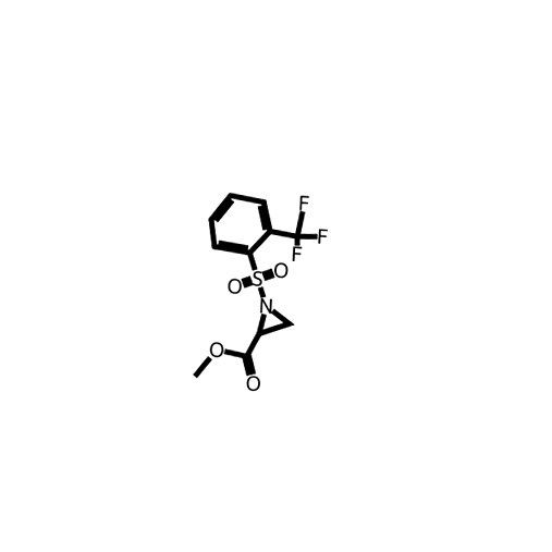 COC(=O)C1CN1S(=O)(=O)c1ccccc1C(F)(F)F